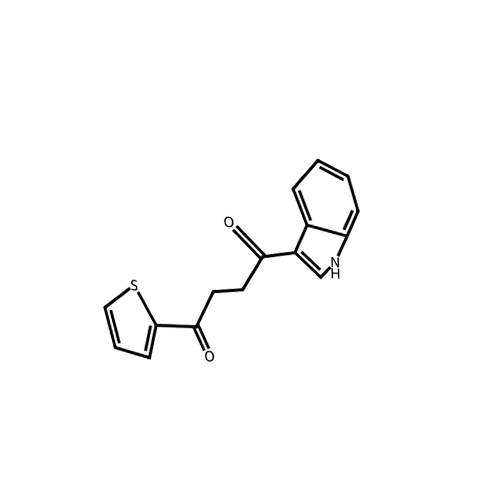 O=C(CCC(=O)c1c[nH]c2ccccc12)c1cccs1